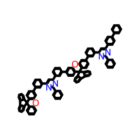 c1ccc(-c2ccc(-c3cc(-c4cccc(-c5ccc6c(c5)Oc5cc(-c7cccc(-c8cc(-c9cccc(-c%10ccc%11c(c%10)Oc%10ccccc%10C%11%10c%11ccccc%11-c%11ccccc%11%10)c9)nc(-c9ccccc9)n8)c7)ccc5C65c6ccccc6-c6ccccc65)c4)nc(-c4ccccc4)n3)cc2)cc1